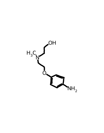 CN(CCO)CCOc1ccc(N)cc1